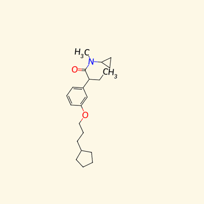 CCC(C(=O)N(C)C1CC1)c1cccc(OCCCC2CCCC2)c1